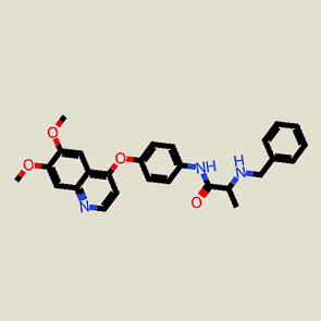 COc1cc2nccc(Oc3ccc(NC(=O)C(C)NCc4ccccc4)cc3)c2cc1OC